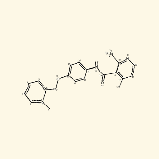 Cc1ccccc1COc1ccc(NC(=O)c2c(C)ccnc2N)cc1